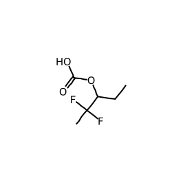 CCC(OC(=O)O)C(C)(F)F